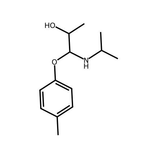 Cc1ccc(OC(NC(C)C)C(C)O)cc1